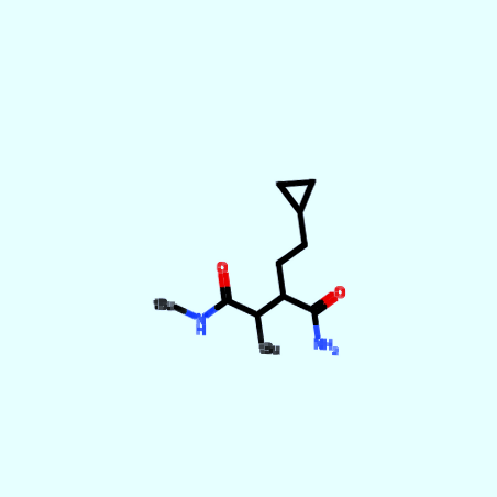 CC(C)(C)NC(=O)C(C(CCC1CC1)C(N)=O)C(C)(C)C